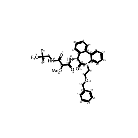 COC(C(=O)NCC(F)(F)C(F)(F)F)C(=O)N[C@@H]1C(=O)N(CCOCc2ccccc2)c2ccccc2-c2ccccc21